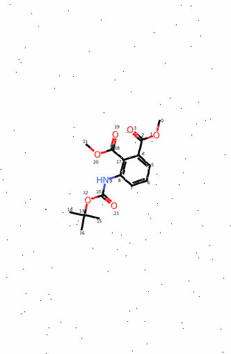 COC(=O)c1cccc(NC(=O)OC(C)(C)C)c1C(=O)OC